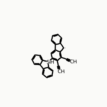 C#Cc1c([SiH]2c3ccccc3-c3ccccc32)cc2c(c1C#C)[CH]c1ccccc1-2